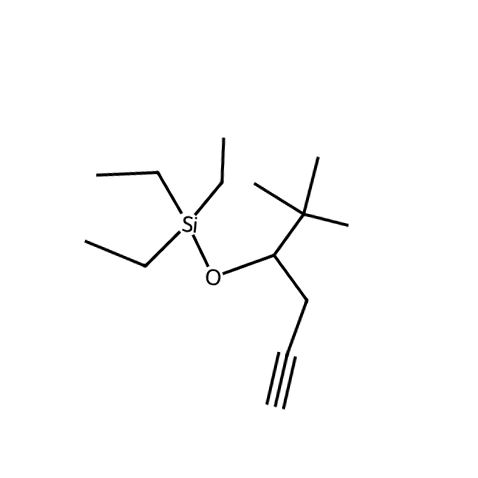 C#CCC(O[Si](CC)(CC)CC)C(C)(C)C